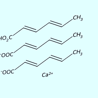 CC=CC=CC(=O)O.CC=CC=CC(=O)[O-].CC=CC=CC(=O)[O-].[Ca+2]